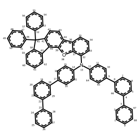 c1ccc(-c2cccc(-c3ccc(N(c4ccc(-c5cccc(-c6ccccc6)c5)cc4)c4cccc5c4oc4c6c(ccc45)C(c4ccccc4)(c4ccccc4)c4ccccc4-6)cc3)c2)cc1